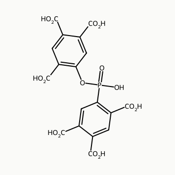 O=C(O)c1cc(C(=O)O)c(C(=O)O)cc1OP(=O)(O)c1cc(C(=O)O)c(C(=O)O)cc1C(=O)O